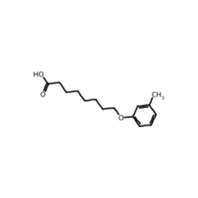 Cc1cccc(OCCCCCCCC(=O)O)c1